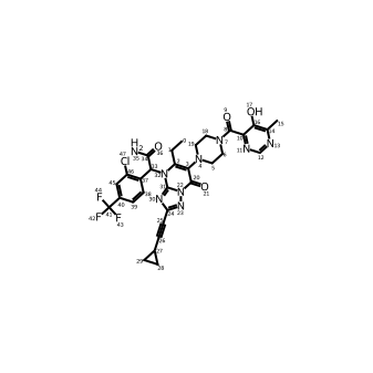 CCc1c(N2CCN(C(=O)c3ncnc(C)c3O)CC2)c(=O)n2nc(C#CC3CC3)nc2n1C(C(N)=O)c1ccc(C(F)(F)F)cc1Cl